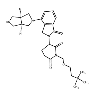 C[Si](C)(C)CCOCN1C(=O)CCC(N2Cc3c(cccc3N3C[C@H]4CNC[C@H]4C3)C2=O)C1=O